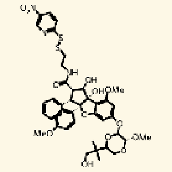 COc1ccc([C@@]23Oc4cc(O[C@@H]5OC(C(C)(C)CO)CO[C@H]5OC)cc(OC)c4[C@]2(O)[C@H](O)[C@H](C(=O)NCCSSc2ccc([N+](=O)[O-])cn2)[C@H]3c2ccccc2)cc1